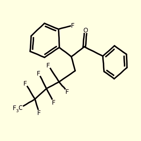 O=C(c1ccccc1)C(CC(F)(F)C(F)(F)C(F)(F)C(F)(F)F)c1ccccc1F